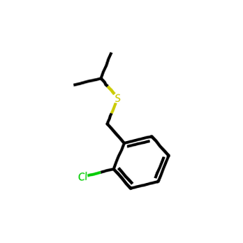 CC(C)SCc1ccccc1Cl